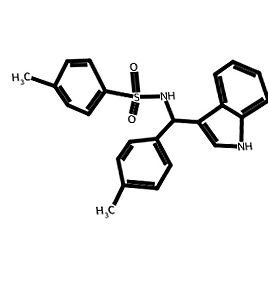 Cc1ccc(C(NS(=O)(=O)c2ccc(C)cc2)c2c[nH]c3ccccc23)cc1